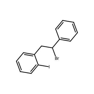 BrC(Cc1ccccc1I)c1ccccc1